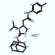 Cc1ccc(NC(=O)CC2CS/C(=N\C34CC5CC(CC(C5)C3)C4)N2C(C)C)cc1.Cl